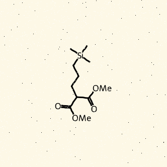 COC(=O)C(CCC[Si](C)(C)C)C(=O)OC